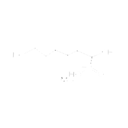 CCCCCCC(C)[PH](=O)O.[Mo]